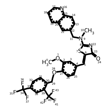 COc1cc(/C=C2\SC(N(C)Cc3ccc4ncccc4c3)=NC2=O)ccc1OCc1ccc(C(F)(F)F)cc1C(F)(F)F